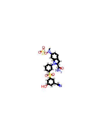 CN(O[SH](=O)=O)c1ccc2cc(C(N)=O)n(-c3cccc(S(=O)(=O)c4cc(O)cc(C#N)c4)c3)c2c1